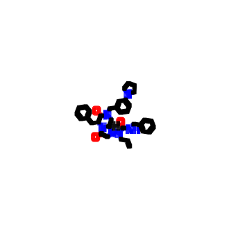 C=CCN(C(=O)NCc1ccccc1)N1CC(=O)N2[C@@H](Cc3ccccc3)C(=O)N(Cc3cccc(N4CCCC4)c3)C[C@@H]21